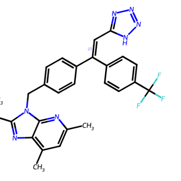 CCc1nc2c(C)cc(C)nc2n1Cc1ccc(/C(=C/c2nnn[nH]2)c2ccc(C(F)(F)F)cc2)cc1